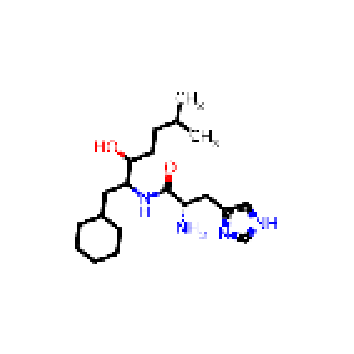 CC(C)CCC(O)C(CC1CCCCC1)NC(=O)[C@@H](N)Cc1c[nH]cn1